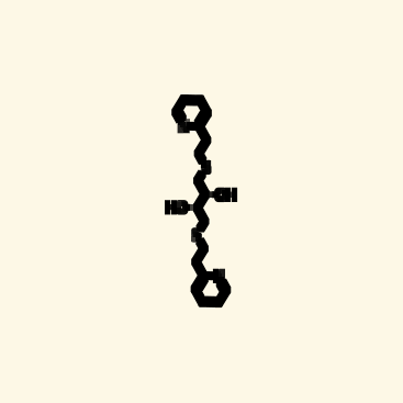 O[C@@H](CSCCc1ccccn1)[C@@H](O)CSCCc1ccccn1